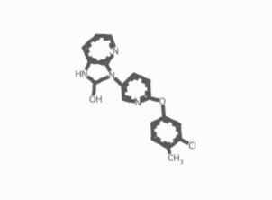 Cc1ccc(Oc2ccc(N3c4ncccc4NC3O)cn2)cc1Cl